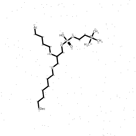 CCCCCCCCCCCCCCCCOCC(COP(=O)(O)OCC[N+](C)(C)C)OCCCCC(C)=O